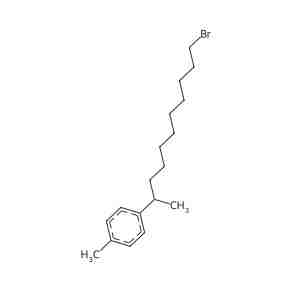 Cc1ccc(C(C)CCCCCCCCCBr)cc1